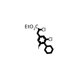 CCOC(=O)C(Cl)Cc1cc(Cl)c(C2CCCCC2)c(I)c1